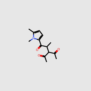 CC(=O)C(C(C)=O)C(C)C(=O)c1ccc(C)n1C